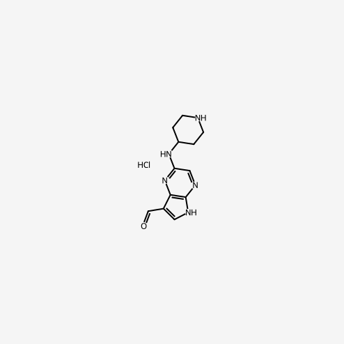 Cl.O=Cc1c[nH]c2ncc(NC3CCNCC3)nc12